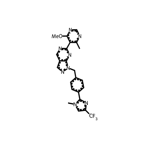 COc1ncnc(C)c1-c1ncc2cnn(Cc3ccc(-c4nc(C(F)(F)F)cn4C)cc3)c2n1